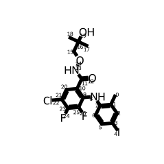 Cc1cc(I)ccc1Nc1c(C(=O)NOCC(C)(C)O)cc(Cl)c(F)c1F